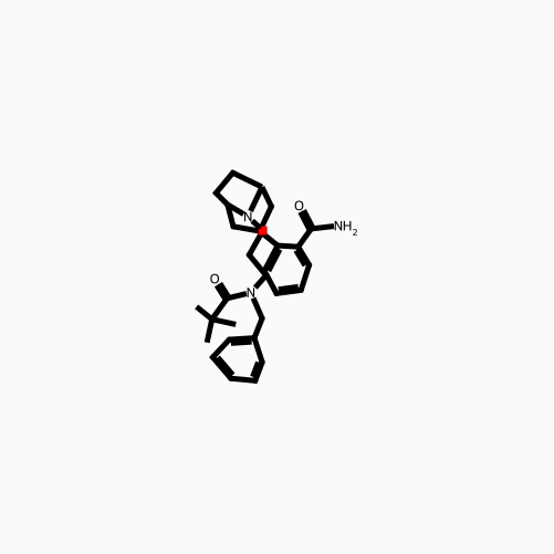 CC(C)(C)C(=O)N(CCCN1C2CCC1CC(c1ccccc1C(N)=O)C2)Cc1ccccc1